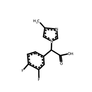 Cc1cn(C(C(=O)O)c2ccc(F)c(F)c2)cn1